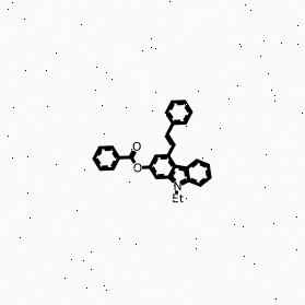 CCn1c2ccccc2c2c(C=Cc3ccccc3)cc(OC(=O)c3ccccc3)cc21